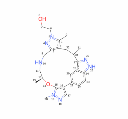 Cc1c2c(nn1CCO)CNC[C@H](C)Oc1c(cnn1C)-c1ccc3[nH]nc(c3c1)C(C)C2